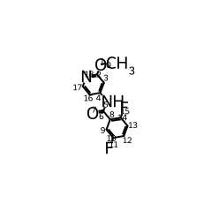 COc1cc(NC(=O)c2cc(F)ccc2F)ccn1